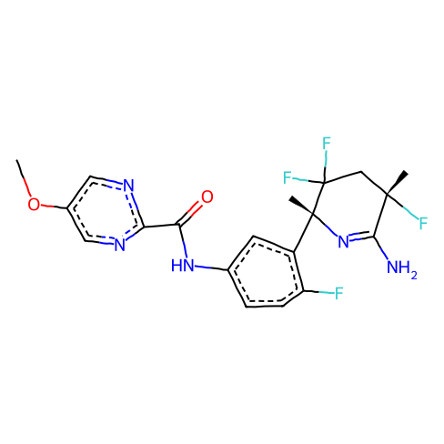 COc1cnc(C(=O)Nc2ccc(F)c([C@@]3(C)N=C(N)[C@@](C)(F)CC3(F)F)c2)nc1